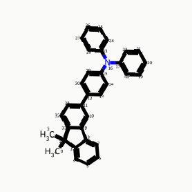 CC1(C)c2ccccc2-c2cc(-c3ccc(N(c4ccccc4)c4ccccc4)cc3)ccc21